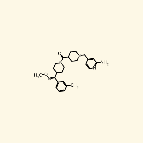 CON=C(c1cccc(C)c1)C1CCN(C(=O)C2CCN(Cc3ccnc(N)c3)CC2)CC1